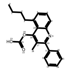 CCCCc1cccc2nc(-c3ccccc3)c(C)c(OC(=O)O)c12